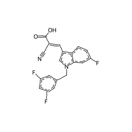 N#C/C(=C\c1cn(Cc2cc(F)cc(F)c2)c2cc(F)ccc12)C(=O)O